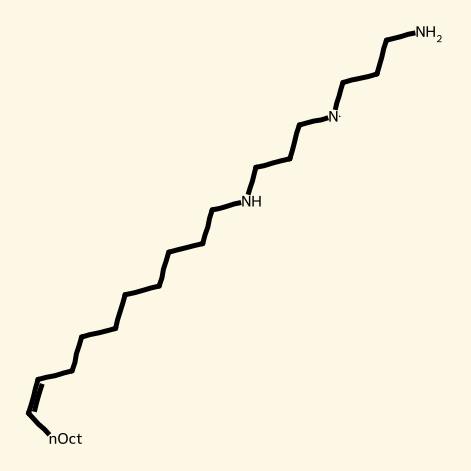 CCCCCCCC/C=C\CCCCCCCCNCCC[N]CCCN